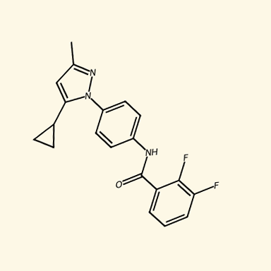 Cc1cc(C2CC2)n(-c2ccc(NC(=O)c3cccc(F)c3F)cc2)n1